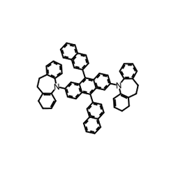 C1=CC2=C(CC1)CCc1ccccc1N2c1ccc2c(-c3ccc4ccccc4c3)c3cc(N4C5=C(CCC=C5)CCc5ccccc54)ccc3c(-c3ccc4ccccc4c3)c2c1